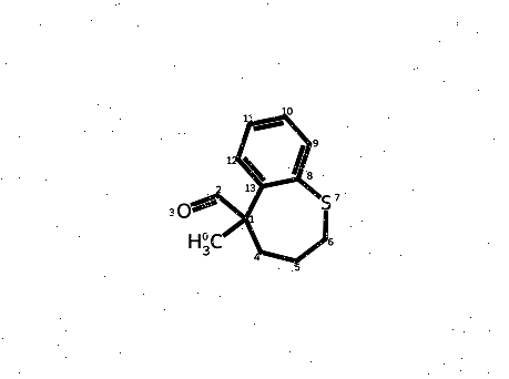 CC1(C=O)CCCSc2ccccc21